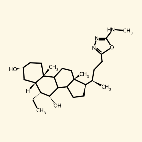 CC[C@H]1[C@@H](O)C2C3CC[C@H]([C@H](C)CCc4nnc(NC)o4)[C@@]3(C)CCC2[C@@]2(C)CC[C@@H](O)C[C@@H]12